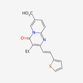 CCc1c(C=Cc2cccs2)nc2ccc(C(=O)O)cn2c1=O